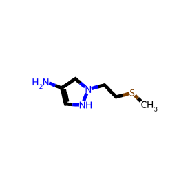 CSCCN1CC(N)=CN1